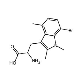 Cc1ccc(Br)c2c1c(CC(N)C(=O)O)c(C)n2C